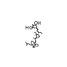 C=C1[C@H](O)CC(=C/C=C(\CC)[C@@H]2CC[C@H]([C@H](C)/C=C/C(=O)C3(C(=O)CCC(C)C)CC3)[C@@]2(C)CC)C[C@H]1O